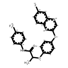 CC(Oc1ccc(Oc2cnc3cc(F)ccc3n2)cc1)C(=O)Nc1ccc(C(F)(F)F)cc1